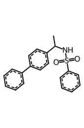 CC(NS(=O)(=O)c1ccccc1)c1ccc(-c2ccccc2)cc1